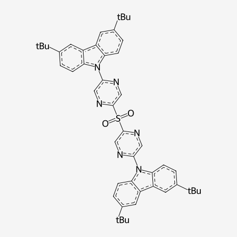 CC(C)(C)c1ccc2c(c1)c1cc(C(C)(C)C)ccc1n2-c1cnc(S(=O)(=O)c2cnc(-n3c4ccc(C(C)(C)C)cc4c4cc(C(C)(C)C)ccc43)cn2)cn1